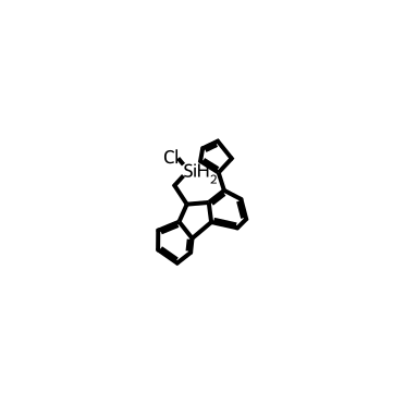 Cl[SiH2]CC1c2ccccc2-c2cccc(C3=CC=CC3)c21